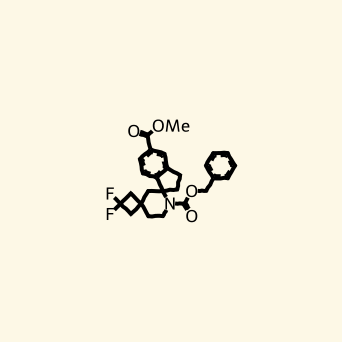 COC(=O)c1ccc2c(c1)CCC21CC2(CCN1C(=O)OCc1ccccc1)CC(F)(F)C2